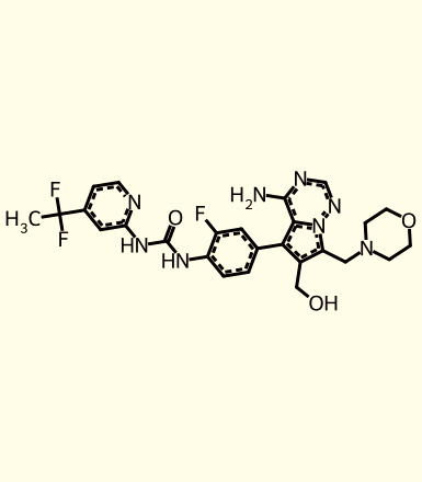 CC(F)(F)c1ccnc(NC(=O)Nc2ccc(-c3c(CO)c(CN4CCOCC4)n4ncnc(N)c34)cc2F)c1